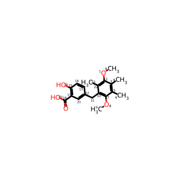 COc1c(C)c(C)c(OC)c(Cc2ccc(O)c(C(=O)O)c2)c1C